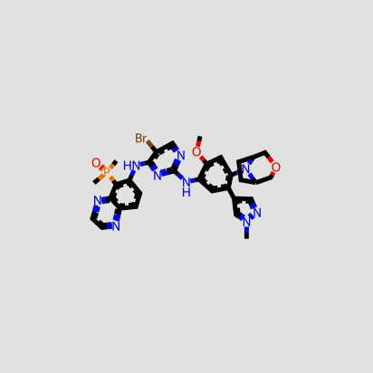 COc1cc(N2C3CCC2COC3)c(-c2cnn(C)c2)cc1Nc1ncc(Br)c(Nc2ccc3nccnc3c2P(C)(C)=O)n1